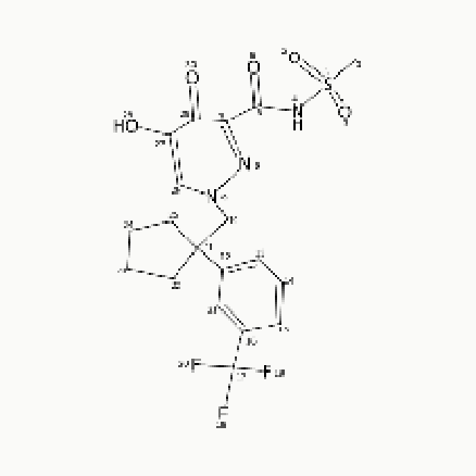 CS(=O)(=O)NC(=O)c1nn(CC2(c3cccc(C(F)(F)F)c3)CCCC2)cc(O)c1=O